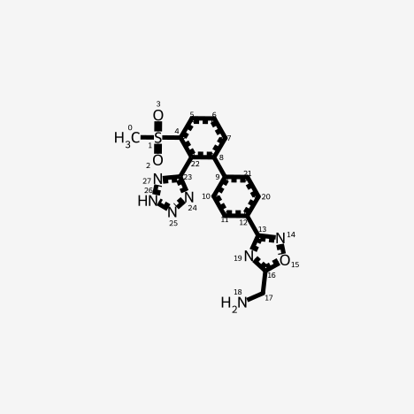 CS(=O)(=O)c1cccc(-c2ccc(-c3noc(CN)n3)cc2)c1-c1nn[nH]n1